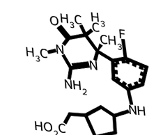 CN1C(=O)C(C)(C)[C@](C)(c2cc(NC3CCC(CC(=O)O)C3)ccc2F)N=C1N